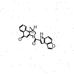 O=C1C=C2N(C(=O)c3cc4c(ccc5occc54)[nH]3)C[C@H]3C[C@@]23c2ccccc21